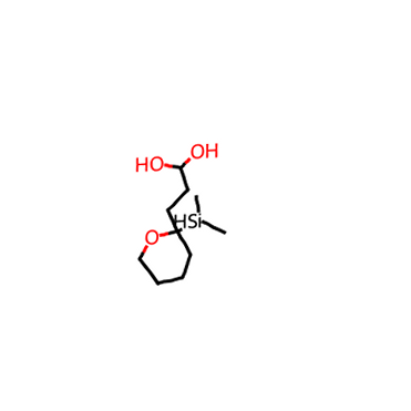 C[SiH](C)C1(CCC(O)O)CCCCO1